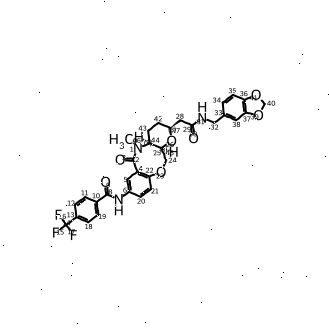 CN1C(=O)c2cc(NC(=O)c3ccc(C(F)(F)F)cc3)ccc2OC[C@@H]2O[C@H](CC(=O)NCc3ccc4c(c3)OCO4)CC[C@@H]21